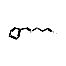 C=CCON=Cc1c[c]ccc1